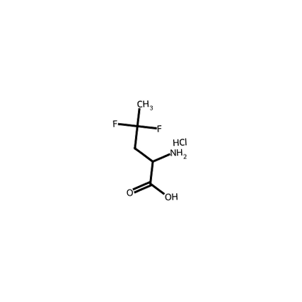 CC(F)(F)CC(N)C(=O)O.Cl